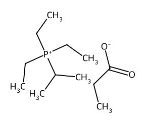 CCC(=O)[O-].CC[P+](CC)(CC)C(C)C